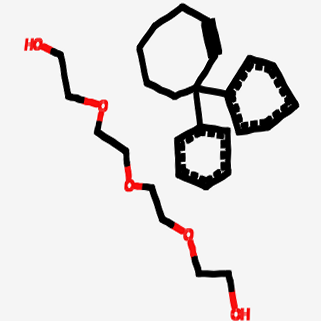 C1#CC(c2ccccc2)(c2ccccc2)CCCCC1.OCCOCCOCCOCCO